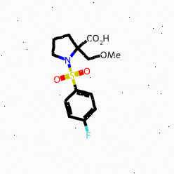 COCC1(C(=O)O)CCCN1S(=O)(=O)c1ccc(F)cc1